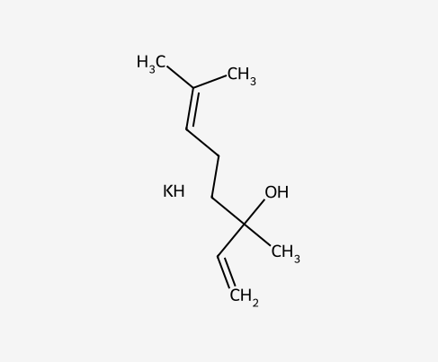 C=CC(C)(O)CCC=C(C)C.[KH]